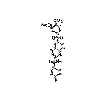 COc1ccc(S(=O)(=O)N2C=C3CN=C(NC(=O)c4ccc(F)cc4)N=C3CC2)cc1OC